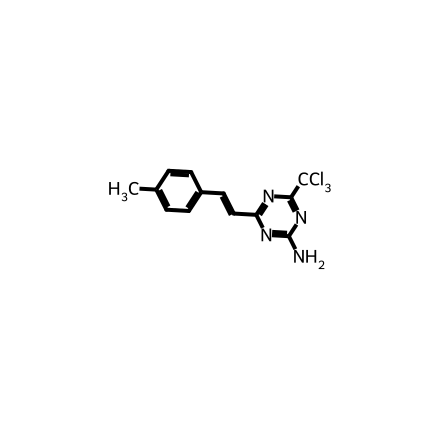 Cc1ccc(/C=C/c2nc(N)nc(C(Cl)(Cl)Cl)n2)cc1